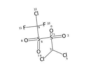 O=S(=O)(C(Cl)Cl)S(=O)(=O)C(F)(F)Cl